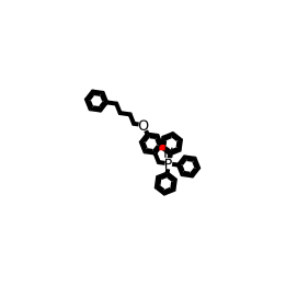 c1ccc(CCCCOc2ccc(C[PH](c3ccccc3)(c3ccccc3)c3ccccc3)cc2)cc1